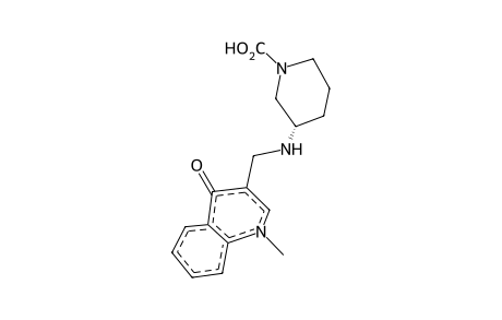 Cn1cc(CN[C@H]2CCCN(C(=O)O)C2)c(=O)c2ccccc21